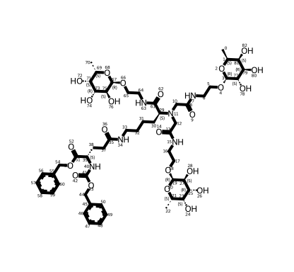 C[C@@H]1O[C@@H](OCCNC(=O)CN(CC(=O)NCCO[C@@H]2O[C@@H](C)[C@@H](O)[C@@H](O)[C@@H]2O)[C@@H](CCCCNC(=O)CC[C@H](NC(=O)OCc2ccccc2)C(=O)OCc2ccccc2)C(=O)NCCO[C@@H]2O[C@@H](C)[C@@H](O)[C@@H](O)[C@@H]2O)[C@@H](O)[C@H](O)[C@@H]1O